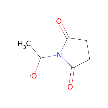 CC([O])N1C(=O)CCC1=O